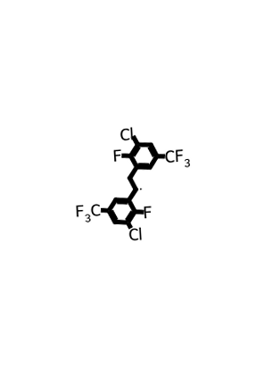 Fc1c(Cl)cc(C(F)(F)F)cc1[CH]Cc1cc(C(F)(F)F)cc(Cl)c1F